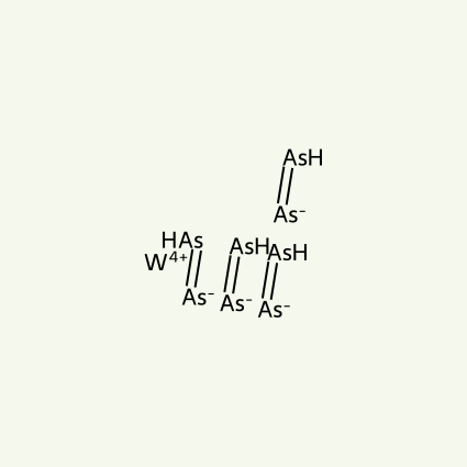 [As-]=[AsH].[As-]=[AsH].[As-]=[AsH].[As-]=[AsH].[W+4]